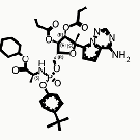 CCC(=O)O[C@H]1[C@@H](OC(=O)CC)[C@](C)(c2ccc3c(N)ncnn23)O[C@@H]1COP(=O)(N[C@@H](C)C(=O)OC1CCCCC1)Oc1ccc(C(C)(C)C)cc1